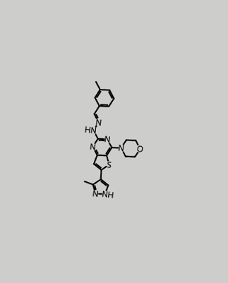 Cc1cccc(/C=N/Nc2nc(N3CCOCC3)c3sc(-c4c[nH]nc4C)cc3n2)c1